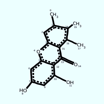 Cc1cc2oc3cc(O)cc(O)c3c(=O)c2c(C)c1C